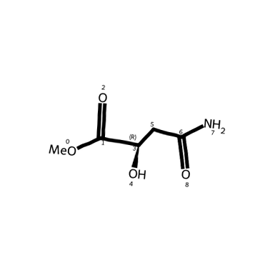 COC(=O)[C@H](O)CC(N)=O